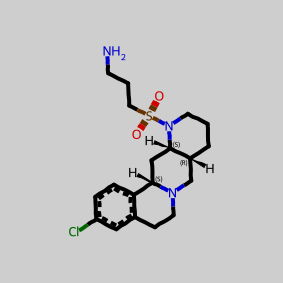 NCCCS(=O)(=O)N1CCC[C@@H]2CN3CCc4cc(Cl)ccc4[C@@H]3C[C@@H]21